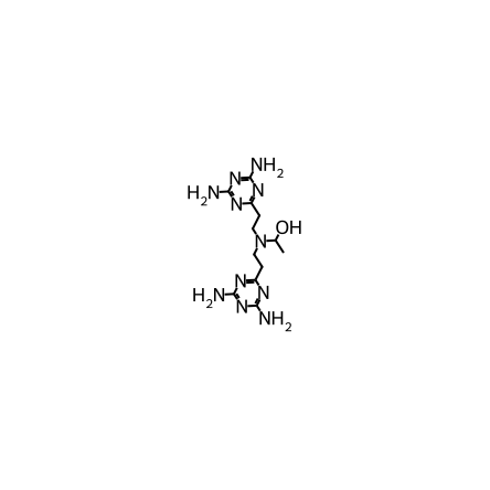 CC(O)N(CCc1nc(N)nc(N)n1)CCc1nc(N)nc(N)n1